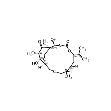 C=C(C)[C@@H]1C[C@@H]2C[C@]2(C)CCC[C@@H]2CC[C@@](C)(C(=O)[C@H](C)[C@H]2O)[C@@H](O)CC(=O)O1